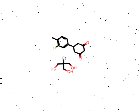 CCC(CO)(CO)CO.Cc1ccc(C2CC(=O)CC(=O)C2)cc1F